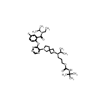 CCN(C(=O)c1cc(F)ccc1Oc1nncnc1N1CCC2(C1)CN([C@H](CCCOC(=O)NC(C)(C)C)C(C)C)C2)C(C)C